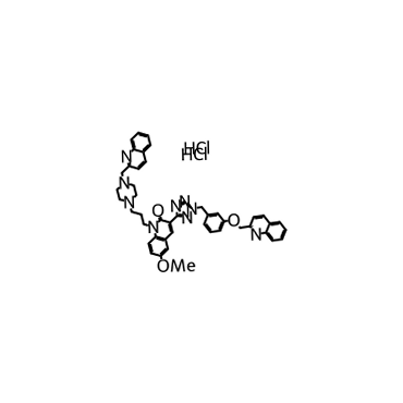 COc1ccc2c(c1)cc(-c1nnn(Cc3cccc(OCc4ccc5ccccc5n4)c3)n1)c(=O)n2CCCN1CCN(Cc2ccc3ccccc3n2)CC1.Cl.Cl